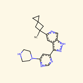 N#CC1(c2cc3c(-c4cc(N5CCNCC5)ncn4)n[nH]c3cn2)CC2(CC2)C1